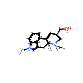 CN1C[C@H](CO)C=C2c3cccc4c3c(cn4C)C[C@H]21